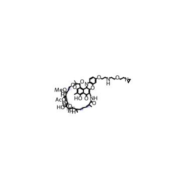 CO[C@H]1/C=C/O[C@@]2(C)Oc3c(C)c(O)c4c(=O)c(c5oc6cc(OCCNCCOCCN7CC7)ccc6nc-5c4c3C2=O)NC(=O)/C(C)=C\C=C\[C@H](C)[C@@H]2O[C@H]([C@H](O)[C@@H]2C)[C@H](OC(C)=O)[C@@H]1C